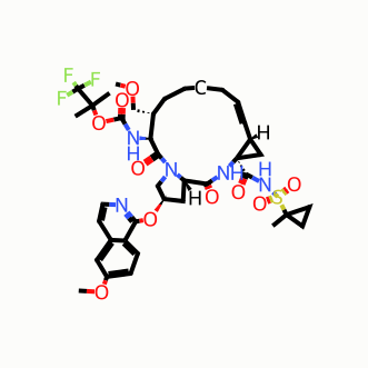 COC[C@@H]1CCCC/C=C\[C@@H]2C[C@@]2(C(=O)NS(=O)(=O)C2(C)CC2)NC(=O)[C@@H]2C[C@@H](Oc3nccc4cc(OC)ccc34)CN2C(=O)[C@H]1NC(=O)OC(C)(C)C(F)(F)F